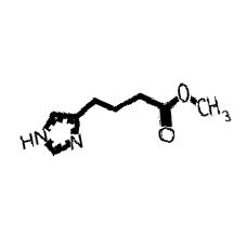 COC(=O)CCCc1c[nH]cn1